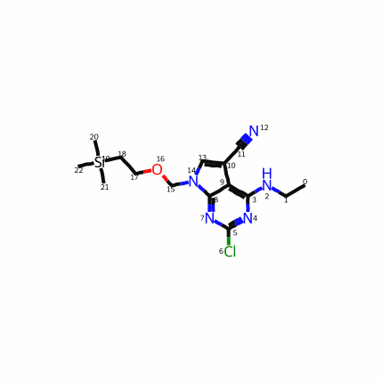 CCNc1nc(Cl)nc2c1c(C#N)cn2COCC[Si](C)(C)C